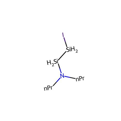 CCCN(CCC)[SiH2][SiH2]I